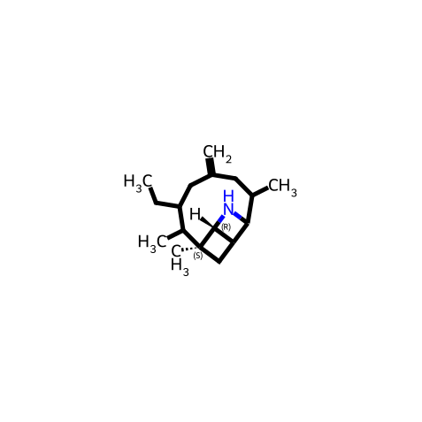 C=C1CC(C)C2N[C@@H]3C2C[C@@]3(C)C(C)C(CC)C1